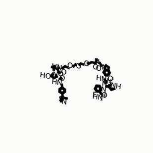 CNC(=O)c1c(F)cccc1Nc1nc(Nc2cc3c(cc2OC)CCN3C(=O)CN(C)C(=O)CCOCCOCCOCCC(=O)NC(C(=O)N2C[C@H](O)C[C@H]2C(=O)NCc2ccc(-c3scnc3C)cc2)C(C)(C)C)nc2[nH]ccc12